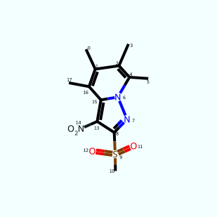 Cc1c(C)c(C)n2nc(S(C)(=O)=O)c([N+](=O)[O-])c2c1C